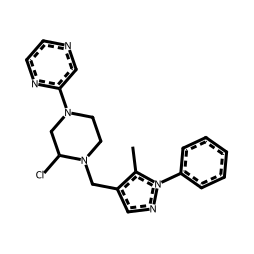 Cc1c(CN2CCN(c3cnccn3)CC2Cl)cnn1-c1ccccc1